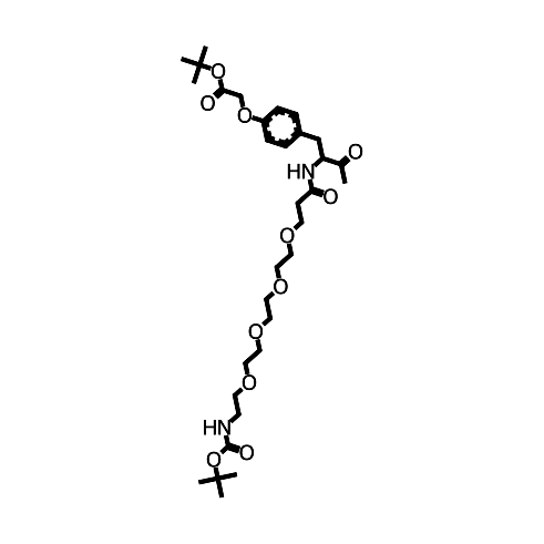 CC(=O)C(Cc1ccc(OCC(=O)OC(C)(C)C)cc1)NC(=O)CCOCCOCCOCCOCCNC(=O)OC(C)(C)C